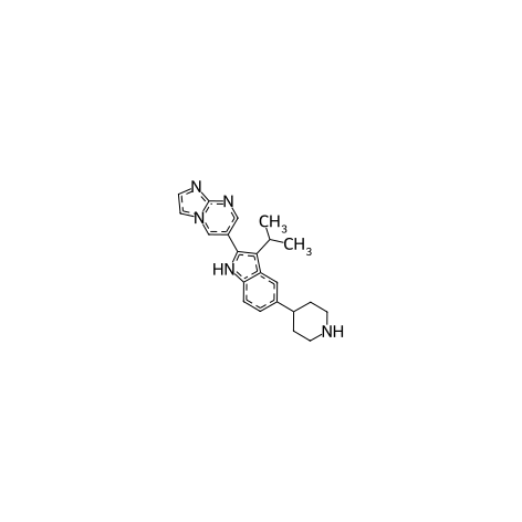 CC(C)c1c(-c2cnc3nccn3c2)[nH]c2ccc(C3CCNCC3)cc12